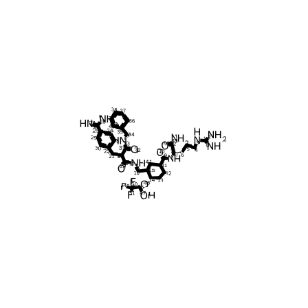 N=C(N)NCCC[C@H](NC(=O)C1CCCC(CNC(=O)C(Cc2ccc(C(=N)N)cc2)C(=O)NCc2ccccc2)C1)C(N)=O.O=C(O)C(F)(F)F